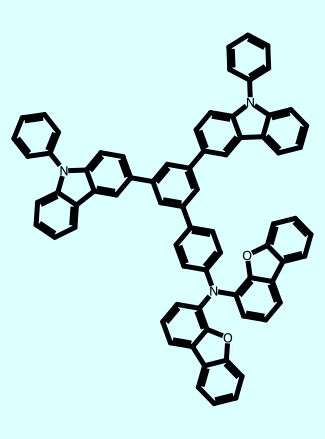 c1ccc(-n2c3ccccc3c3cc(-c4cc(-c5ccc(N(c6cccc7c6oc6ccccc67)c6cccc7c6oc6ccccc67)cc5)cc(-c5ccc6c(c5)c5ccccc5n6-c5ccccc5)c4)ccc32)cc1